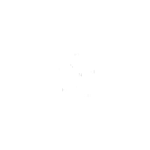 CC(C)N(C(C)C)N(Cl)P(O)O